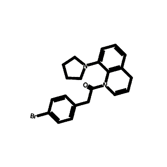 O=C(Cc1ccc(Br)cc1)N1C=CCc2cccc(N3CCCC3)c21